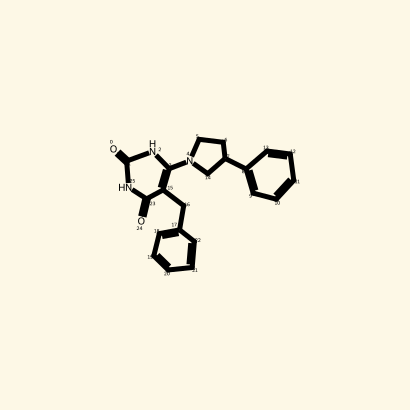 O=c1[nH]c(N2CCC(c3ccccc3)C2)c(Cc2ccccc2)c(=O)[nH]1